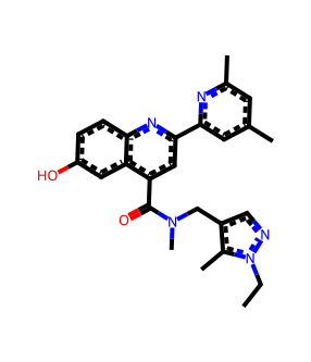 CCn1ncc(CN(C)C(=O)c2cc(-c3cc(C)cc(C)n3)nc3ccc(O)cc23)c1C